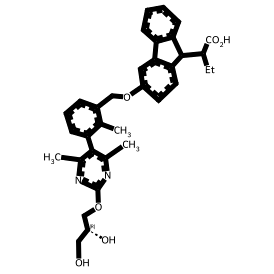 CCC(C(=O)O)C1c2ccccc2-c2cc(OCc3cccc(-c4c(C)nc(OC[C@H](O)CO)nc4C)c3C)ccc21